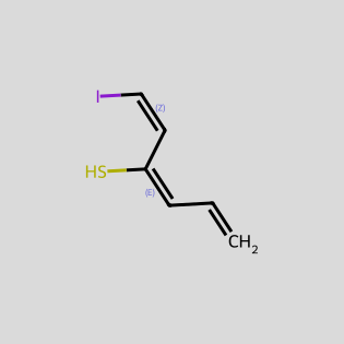 C=C/C=C(S)\C=C/I